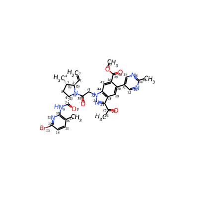 C=C[C@@H]1[C@@H](C)C[C@@H](C(=O)Nc2nc(Br)ccc2C)N1C(=O)Cn1nc(C(C)=O)c2cc(-c3cnc(C)nc3)c(C(=O)OC)cc21